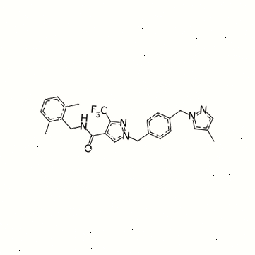 Cc1cnn(Cc2ccc(Cn3cc(C(=O)NCc4c(C)cccc4C)c(C(F)(F)F)n3)cc2)c1